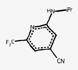 CC(C)Nc1cc(C#N)cc(C(F)(F)F)n1